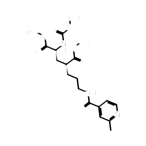 Cc1cc(C(=O)NCCC[C@@H](C[C@H](NC(=O)OC(C)(C)C)C(=O)OC(C)(C)C)C(=O)OC(C)(C)C)ccn1